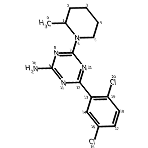 CC1CCCCN1c1nc(N)nc(-c2cc(Cl)ccc2Cl)n1